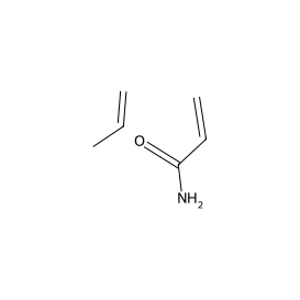 C=CC.C=CC(N)=O